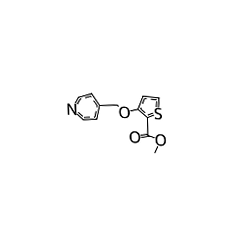 COC(=O)c1sccc1OCc1ccncc1